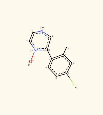 Cc1cc(F)ccc1-c1cncc[n+]1[O-]